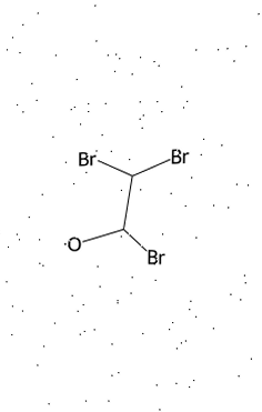 [O]C(Br)C(Br)Br